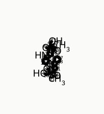 CN1C(=O)C23CC4c5c(cccc5N5c6ccccc6C6CC78SSC(CO)(C(=O)N7C65)N(C)C8=O)NC4N2C(=O)C1(CO)SS3